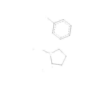 CC(=O)[C@H]1CC[C@@H](c2cccc(F)c2)N1C(=O)O